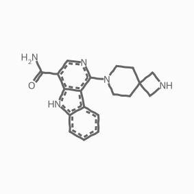 NC(=O)c1cnc(N2CCC3(CC2)CNC3)c2c1[nH]c1ccccc12